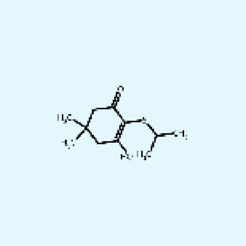 CC(C)SC1=C(O)CC(C)(C)CC1=O